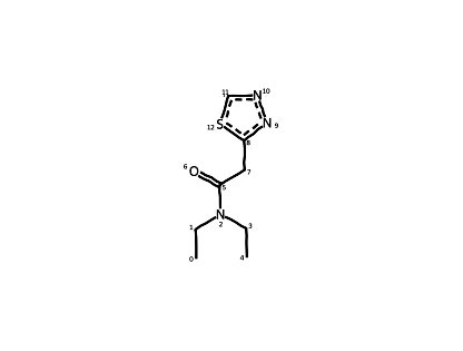 CCN(CC)C(=O)Cc1nn[c]s1